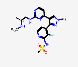 CC(C)n1cc(-c2ccnc(NC[C@H](C)NC(=O)O)n2)c(-c2ccnc(NS(C)(=O)=O)c2F)n1